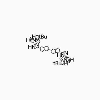 CC(C)(C)OC(=O)N1C(c2nc(-c3ccc4cc(-c5ccc6cc(-c7cnc([C@@H]8C[C@H]9C[C@H]9N8C(=O)OC(C)(C)C)[nH]7)ccc6c5)ccc4c3)c[nH]2)C[C@H]2C[C@H]21